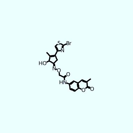 CC1=C(c2csc(Br)n2)C/C(=N\OCC(=O)Nc2ccc3oc(=O)c(C)cc3c2)C1O